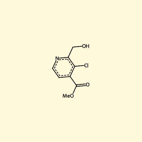 COC(=O)c1ccnc(CO)c1Cl